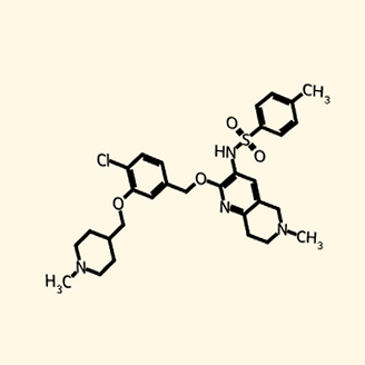 Cc1ccc(S(=O)(=O)Nc2cc3c(nc2OCc2ccc(Cl)c(OCC4CCN(C)CC4)c2)CCN(C)C3)cc1